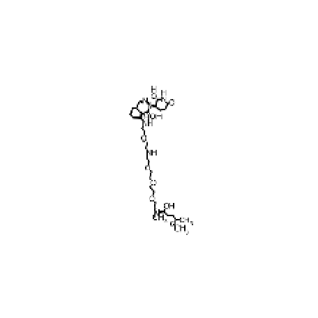 COC(C)CCC(O)N(C)CCOCCOCCOCCNCCOCCNC1=CC=CC2C=NN(C3CCC(=O)N[C@H]3O)[C@@H](O)[C@@H]12